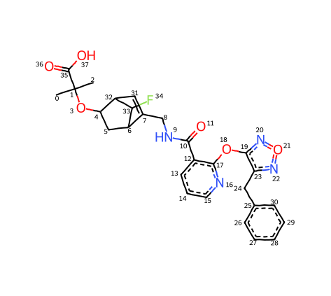 CC(C)(OC1CC2C(CNC(=O)c3cccnc3Oc3nonc3Cc3ccccc3)=CC1C2F)C(=O)O